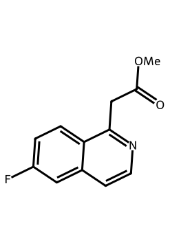 COC(=O)Cc1nccc2cc(F)ccc12